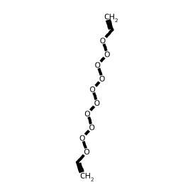 C=COOOOOOOOOOC=C